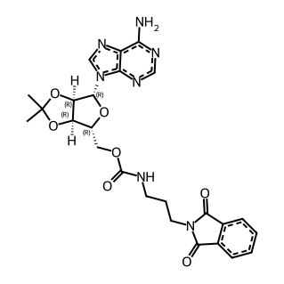 CC1(C)O[C@@H]2[C@H](O1)[C@@H](COC(=O)NCCCN1C(=O)c3ccccc3C1=O)O[C@H]2n1cnc2c(N)ncnc21